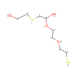 OCCSCC(O)OCCOCCS